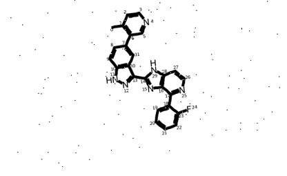 Cc1ccncc1-c1ccc2[nH]nc(-c3nc4c(-c5ccccc5F)nccc4[nH]3)c2c1